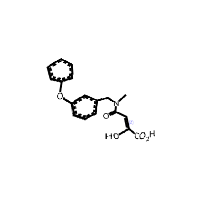 CN(Cc1cccc(Oc2ccccc2)c1)C(=O)/C=C(\O)C(=O)O